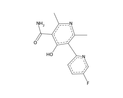 Cc1nc(C)c(-c2ccc(F)cn2)c(O)c1C(N)=O